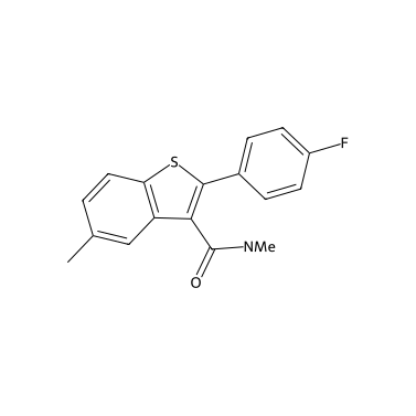 CNC(=O)c1c(-c2ccc(F)cc2)sc2ccc(C)cc12